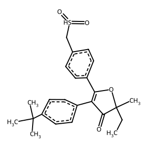 CCC1(C)OC(c2ccc(C[SH](=O)=O)cc2)=C(c2ccc(C(C)(C)C)cc2)C1=O